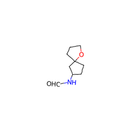 O=CNC1CCC2(CCCO2)C1